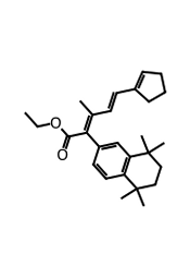 CCOC(=O)C(=C(C)C=CC1=CCCC1)c1ccc2c(c1)C(C)(C)CCC2(C)C